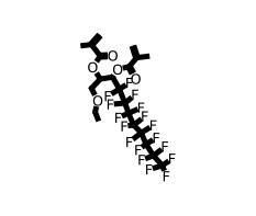 C=C(C)C(=O)OC(COCC)C(OC(=O)C(=C)C)C(F)(F)C(F)(F)C(F)(F)C(F)(F)C(F)(F)C(F)(F)C(F)(F)C(F)(F)F